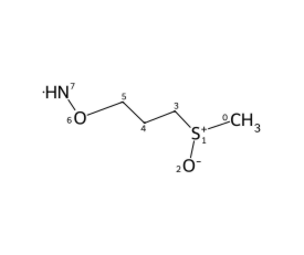 C[S+]([O-])CCCO[NH]